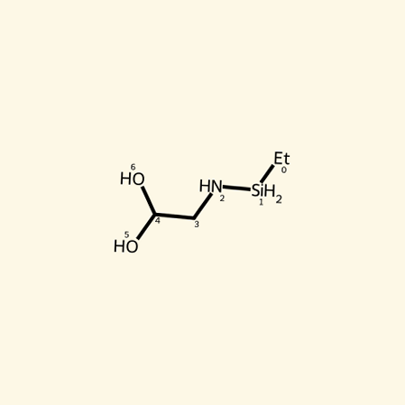 CC[SiH2]NCC(O)O